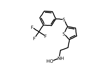 ONCCc1ccc(Sc2cccc(C(F)(F)F)c2)s1